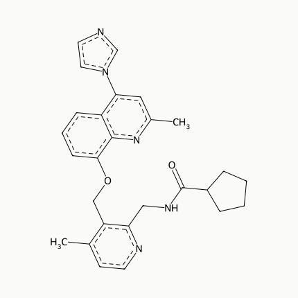 Cc1cc(-n2ccnc2)c2cccc(OCc3c(C)ccnc3CNC(=O)C3CCCC3)c2n1